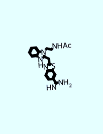 CC(=O)NCCN1c2ccccc2NC1Cc1nc2ccc(C(=N)N)cc2s1